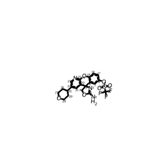 NC1=NC2(CO1)c1cc(OS(=O)(=O)C(F)(F)F)ccc1Oc1ncc(C3CCOCC3)cc12